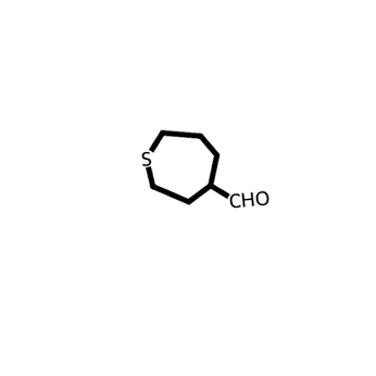 O=CC1CCCSCC1